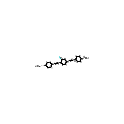 CCCCCCCc1ccc(C#Cc2ccc(C#Cc3ccc(CCCC)cc3)cc2F)cc1